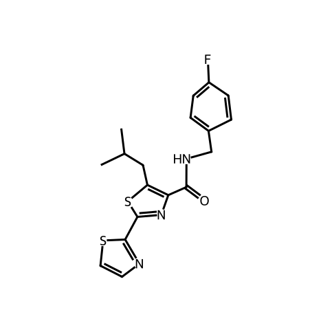 CC(C)Cc1sc(-c2nccs2)nc1C(=O)NCc1ccc(F)cc1